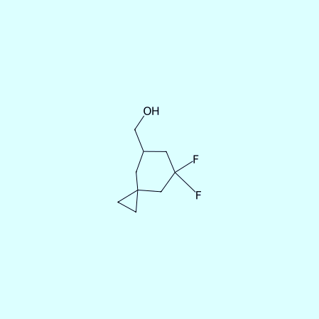 OCC1CC(F)(F)CC2(CC2)C1